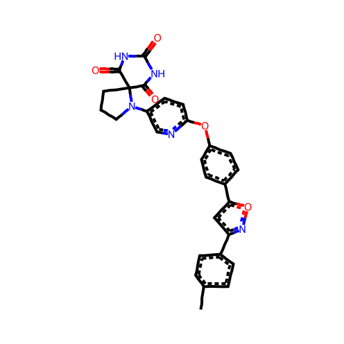 Cc1ccc(-c2cc(-c3ccc(Oc4ccc(N5CCCC56C(=O)NC(=O)NC6=O)cn4)cc3)on2)cc1